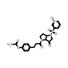 NC(=O)Oc1ccc(C[CH]C(=O)N2CCC3C2C(=O)CN3S(=O)(=O)c2ccc[n+]([O-])c2)cc1